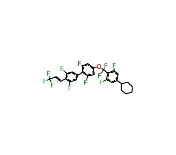 Fc1cc(-c2c(F)cc(OC(F)(F)c3c(F)cc(C4CCCCC4)cc3F)cc2F)cc(F)c1/C=C/C(F)(F)F